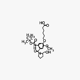 COc1cc(C(=O)N2CCCC2CO)c(NC(=O)OC(C)(C)C)cc1OCCCCCC(=O)O